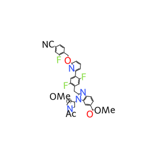 COC(=O)c1ccc2nc(Cc3cc(F)c(-c4cccc(OCc5ccc(C#N)cc5F)n4)cc3F)n(C3CN(C(C)=O)C[C@@H]3OC)c2c1